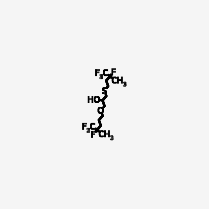 CC(F)(CCCOCC(O)CSCCC(C)(F)C(F)(F)F)C(F)(F)F